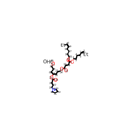 CC/C=C\CCCCOC(CCC(=O)OCCCC(CCCOC=O)OC(=O)CCCN1CCCC1)OCCCC/C=C\CC